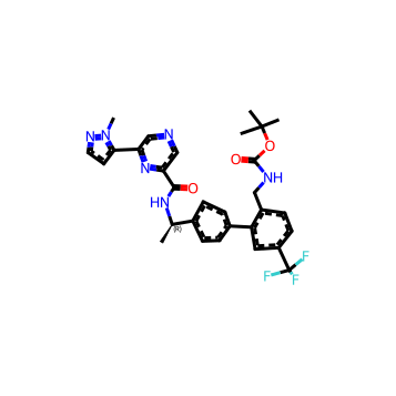 C[C@@H](NC(=O)c1cncc(-c2ccnn2C)n1)c1ccc(-c2cc(C(F)(F)F)ccc2CNC(=O)OC(C)(C)C)cc1